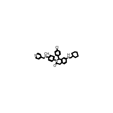 CN(Cc1ccncc1)c1ccc(N2C(=O)Cc3ccc(NCC4CCCCC4)cc3C2c2ccc(Cl)cc2)cc1